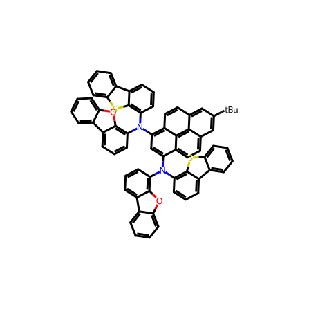 CC(C)(C)c1cc2ccc3c(N(c4cccc5c4oc4ccccc45)c4cccc5c4sc4ccccc45)cc(N(c4cccc5c4oc4ccccc45)c4cccc5c4sc4ccccc45)c4ccc(c1)c2c34